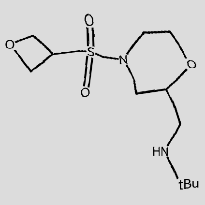 CC(C)(C)NCC1CN(S(=O)(=O)C2COC2)CCO1